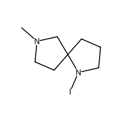 CN1CCC2(CCCN2I)C1